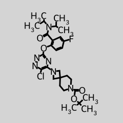 CC(C)N(C(=O)c1cc(F)ccc1Oc1nnc(Cl)c(N2CC3(CCN(C(=O)OC(C)(C)C)CC3)C2)n1)C(C)C